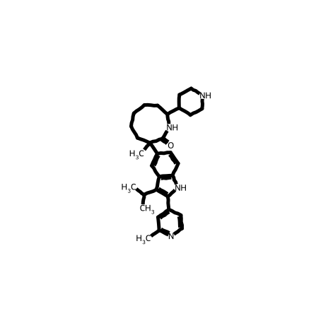 Cc1cc(-c2[nH]c3ccc(C4(C)CCCCCC(C5CCNCC5)NC4=O)cc3c2C(C)C)ccn1